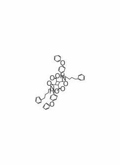 O=C(O)C1C(C(=O)N(CCCCc2ccccc2)Cc2ccc(Oc3ccccc3)cc2)C(C(=O)O)C1C(=O)N(CCCCc1ccccc1)Cc1ccc(Oc2ccccc2)cc1